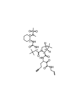 C#CCCC(NC(=O)[C@@H]1[C@@H]2[C@H](CN1C(=O)[C@@H](NC(=O)N[C@H]1CCCC[C@H]1N(C)S(C)(=O)=O)C(C)(C)C)C2(C)C)C(=O)C(=O)NCC=C